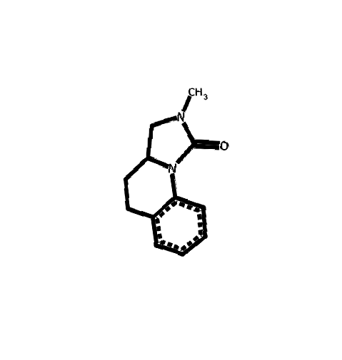 CN1CC2CCc3ccccc3N2C1=O